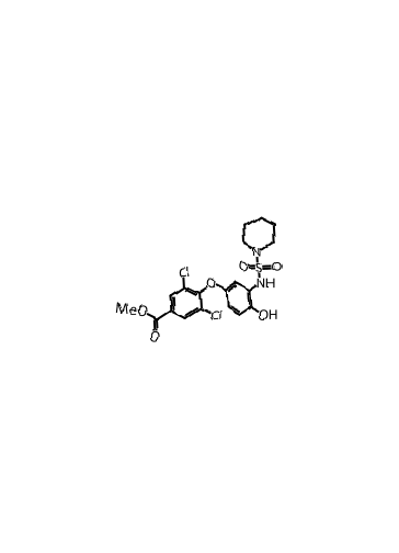 COC(=O)c1cc(Cl)c(Oc2ccc(O)c(NS(=O)(=O)N3CCCCC3)c2)c(Cl)c1